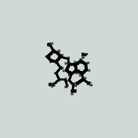 CC(CF)COc1ccc(Cl)cc1Cn1cc(CCO)c2c(C(=O)[O-])cccc21.[Na+]